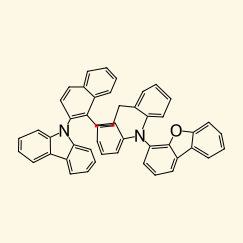 c1ccc(N(c2ccccc2CCCc2c(-n3c4ccccc4c4ccccc43)ccc3ccccc23)c2cccc3c2oc2ccccc23)cc1